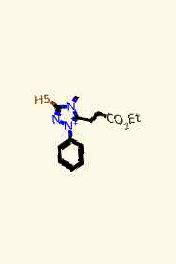 CCOC(=O)CCc1n(C)c(S)n[n+]1-c1ccccc1